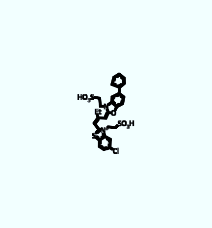 CCC(=Cc1sc2ccc(Cl)cc2[n+]1CCS(=O)(=O)O)C=C1Oc2ccc(-c3ccccc3)cc2N1CCS(=O)(=O)O